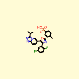 CC(C)c1nnc2ccc(-c3ocnc3-c3cc(F)ccc3F)cn12.Cc1ccc(S(=O)(=O)O)cc1